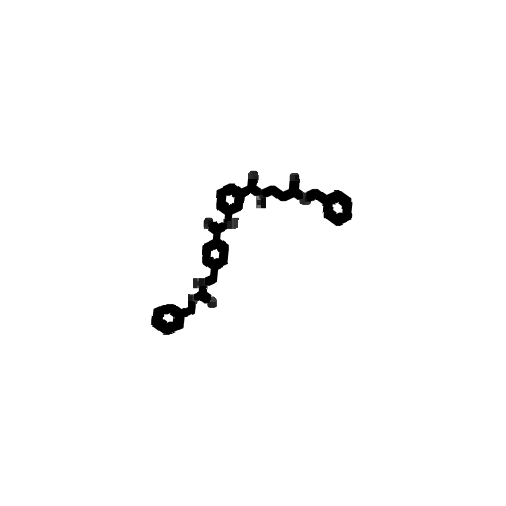 O=C(CCNC(=O)c1cccc(NC(=O)c2ccc(CNC(=O)OCc3ccccc3)cc2)c1)OCc1ccccc1